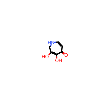 O=C1C=CNCC(O)=C1O